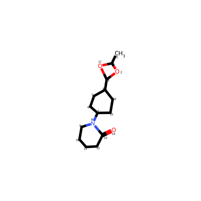 CC1OC(C2CCC(N3CCCCC3=O)CC2)O1